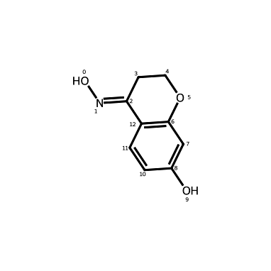 O/N=C1\CCOc2cc(O)ccc21